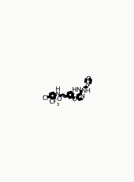 N=C(NCCN1CCOCC1)c1cc(Oc2cccc(/C=C/C(=O)Nc3ccc(Cl)c(C(F)(F)F)c3)c2)ccn1